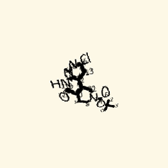 CC(C)(C)OC(=O)N1CCc2c(c3cc(Cl)nnc3[nH]c2=O)C1